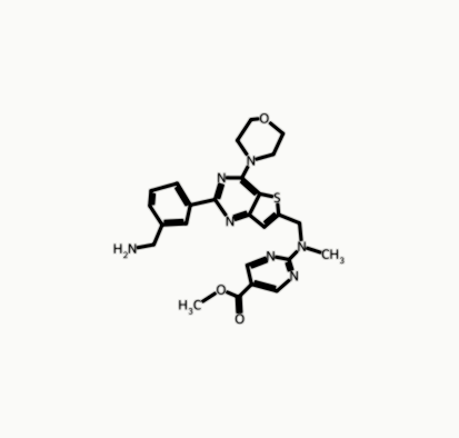 COC(=O)c1cnc(N(C)Cc2cc3nc(-c4cccc(CN)c4)nc(N4CCOCC4)c3s2)nc1